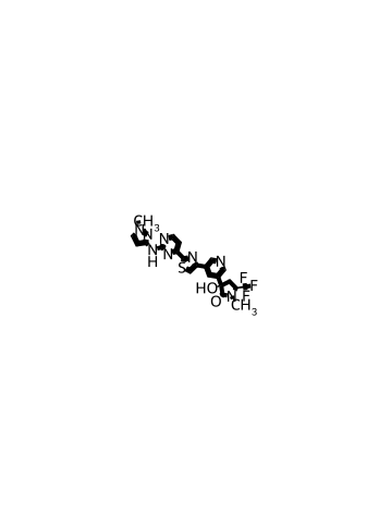 CN1C(=O)[C@@](O)(c2cncc(-c3csc(-c4ccnc(Nc5ccn(C)n5)n4)n3)c2)C[C@H]1C(F)(F)F